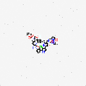 COc1nc(C(=O)Nc2cccc(-c3nccc(-c4ccc(CN(C[C@@H]5CCC(=O)N5)C(=O)OC(C)(C)C)c(OC)n4)c3Cl)c2C)ccc1CN(CCO)C(=O)OC(C)(C)C